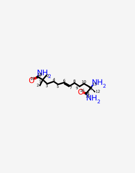 CC(C)(CCC/C=C/CCC[C@](C)(N)C(N)=O)C(N)=O